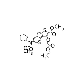 CCOC(=O)COc1c(C(=O)OC)sc2cc3cc(N(C(=O)OC)C4CCCCC4)csc-3c12